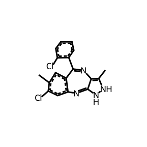 CC1=C2N=C(c3ccccc3Cl)c3cc(C)c(Cl)cc3N=C2NN1